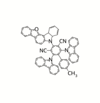 Cc1ccc(-c2c(-n3c4ccccc4c4ccccc43)c(C#N)c(N3c4ccc5c(oc6ccccc65)c4C4C=CC=CC43)c(C#N)c2-n2c3ccccc3c3ccccc32)cc1